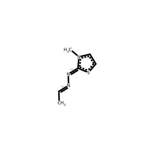 C/C=N/N=c1\sccn1C